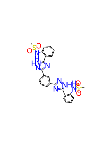 CS(=O)(=O)Nc1ccccc1-c1nc(-c2cccc(-c3n[nH]c(-c4ccccc4NS(C)(=O)=O)n3)c2)n[nH]1